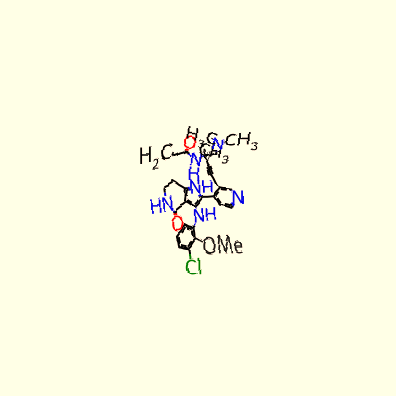 C=CC(=O)N[C@@](C)(C#Cc1cnccc1-c1[nH]c2c(c1Nc1cccc(Cl)c1OC)C(=O)NCC2)CN(C)C